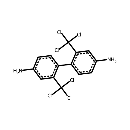 Nc1ccc(-c2ccc(N)cc2C(Cl)(Cl)Cl)c(C(Cl)(Cl)Cl)c1